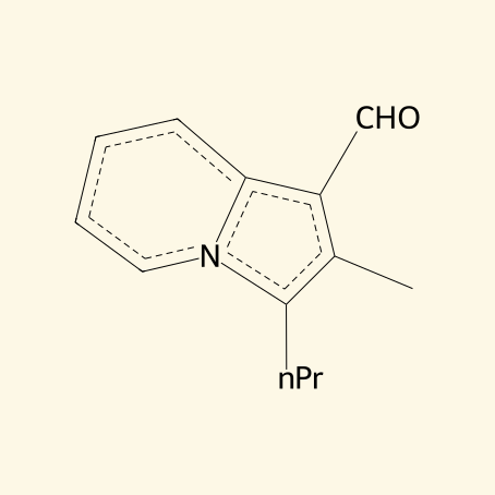 CCCc1c(C)c(C=O)c2ccccn12